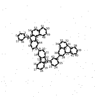 c1ccc(-n2c3ccc(-c4ccc5c(c4)c4ccccc4n5-c4cccc(-c5cc6c7c(cccc7c5)-c5ccccc5-6)c4)cc3c3c4ccccc4ccc32)cc1